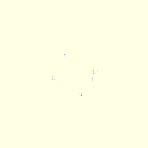 CC(=NC#N)NC#N